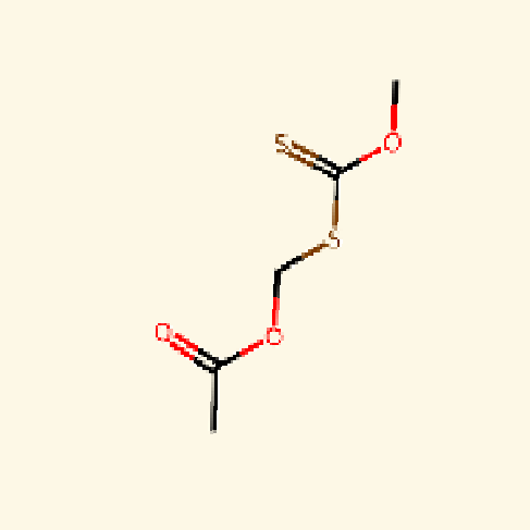 COC(=S)SCOC(C)=O